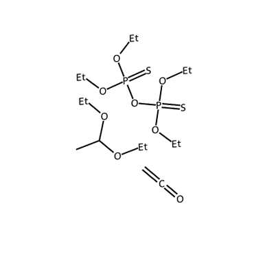 C=C=O.CCOC(C)OCC.CCOP(=S)(OCC)OP(=S)(OCC)OCC